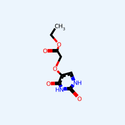 CCOC(=O)COc1c[nH]c(=O)[nH]c1=O